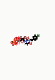 O=c1ccn([C@@H]2O[C@H](COP(=O)(O)OP(=O)(O)O)[C@H](O)[C@@H]2O)c(=O)n1CCc1ccc(Cl)cc1